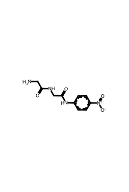 NCC(=O)NCC(=O)Nc1ccc([N+](=O)[O-])cc1